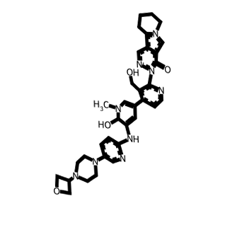 CN1C=C(c2ccnc(-n3ncc4c5n(cc4c3=O)CCCC5)c2CO)C=C(Nc2ccc(N3CCN(C4COC4)CC3)cn2)C1O